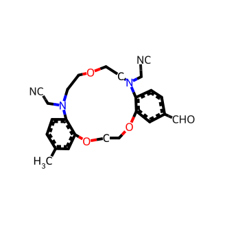 [C-]#[N+]CN1CCOCCN(CC#N)c2ccc(C)cc2OCCOc2cc(C=O)ccc21